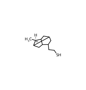 C[C@@H]1C2CC3C(CCS)CC2CC31